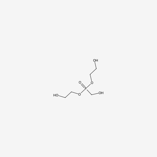 O=P(CO)(OCCO)OCCO